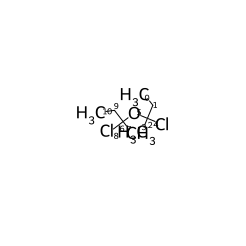 CCC(C)(Cl)OC(C)(Cl)CC